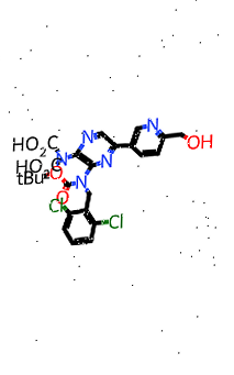 CC(C)(C)OC(=O)N(Cc1c(Cl)cccc1Cl)c1nc(-c2ccc(CO)nc2)cnc1N(C(=O)O)C(=O)O